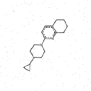 c1cc2c(nc1N1CCN(C3CC3)CC1)CCCC2